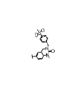 CN1C(=O)N(Cc2ccc(S(C)(=O)=O)cc2)CC2C=C(I)C=CC21